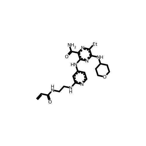 C=CC(=O)NCCNc1cc(Nc2nc(NC3CCOCC3)c(CC)nc2C(N)=O)ccn1